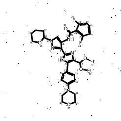 CCOC(OCC)c1nc(-c2nn(C3CCCCO3)cc2NC(=O)c2c(F)cccc2F)[nH]c1-c1ccc(N2CCOCC2)cc1